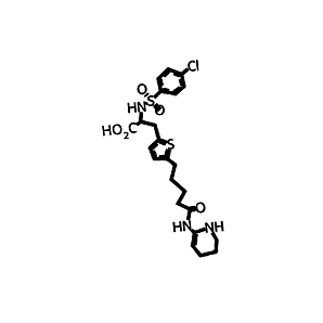 O=C(CCCCc1ccc(CC(NS(=O)(=O)c2ccc(Cl)cc2)C(=O)O)s1)NC1=CCCCN1